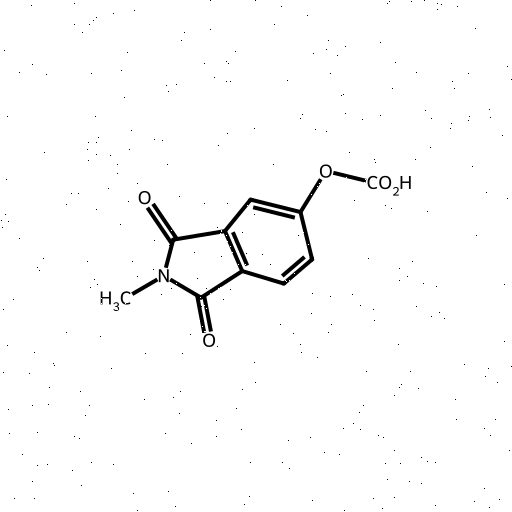 CN1C(=O)c2ccc(OC(=O)O)cc2C1=O